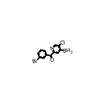 Bc1cc(C(=O)c2cccc(Br)c2)ncc1Cl